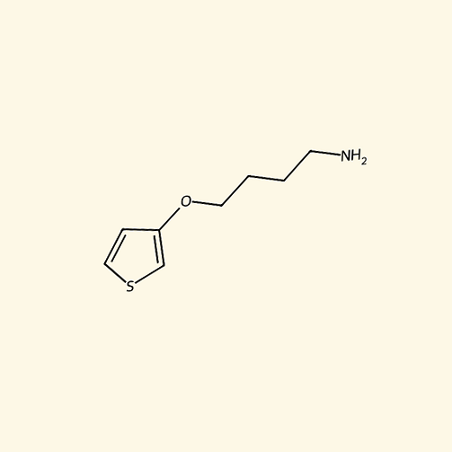 NCCCCOc1ccsc1